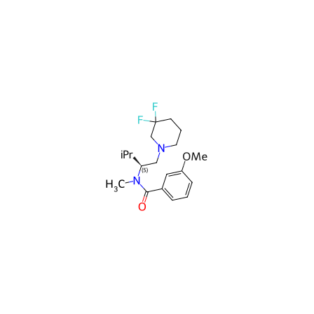 COc1cccc(C(=O)N(C)[C@H](CN2CCCC(F)(F)C2)C(C)C)c1